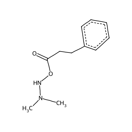 CN(C)NOC(=O)CCc1ccccc1